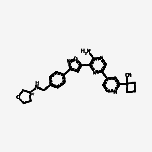 N#CC1(c2cc(-c3cnc(N)c(-c4cc(-c5ccc(CN[C@H]6CCOC6)cc5)no4)n3)ccn2)CCC1